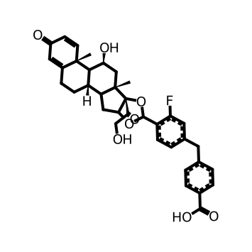 C[C@]12C=CC(=O)C=C1CC[C@@H]1C2[C@@H](O)C[C@@]2(C)C1CC1OC(c3ccc(Cc4ccc(C(=O)O)cc4)cc3F)O[C@]12C(=O)CO